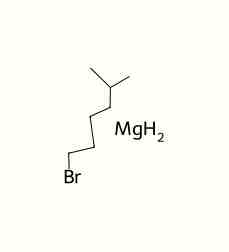 CC(C)CCCCBr.[MgH2]